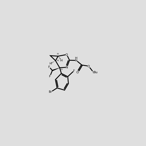 CC(C)(C)OC(=O)NC1=N[C@@](c2cc(Br)ccc2F)(C(F)F)[C@H]2C[C@H]2O1